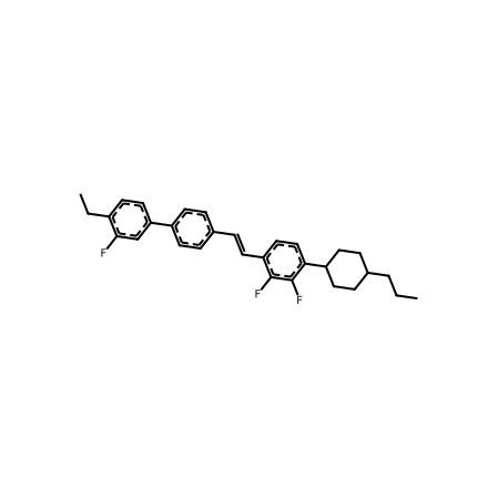 CCCC1CCC(c2ccc(/C=C/c3ccc(-c4ccc(CC)c(F)c4)cc3)c(F)c2F)CC1